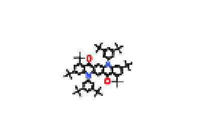 CC(C)(C)c1cc(-n2c3cc4c(=O)c5c(C(C)(C)C)cc(C(C)(C)C)cc5n(-c5cc(C(C)(C)C)cc(C(C)(C)C)c5)c4cc3c(=O)c3c(C(C)(C)C)cc(C(C)(C)C)cc32)cc(C(C)(C)C)c1